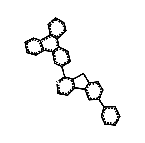 c1ccc(-c2ccc3c(c2)-c2ccnc(-c4ccc5c6ccccc6c6ccccc6c5c4)c2C3)cc1